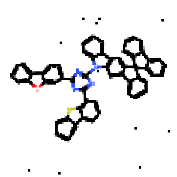 c1ccc2c(c1)-c1ccccc1C21c2ccccc2-c2cc3c(cc21)c1ccccc1n3-c1nc(-c2ccc3c(c2)oc2ccccc23)nc(-c2cccc3c2sc2ccccc23)n1